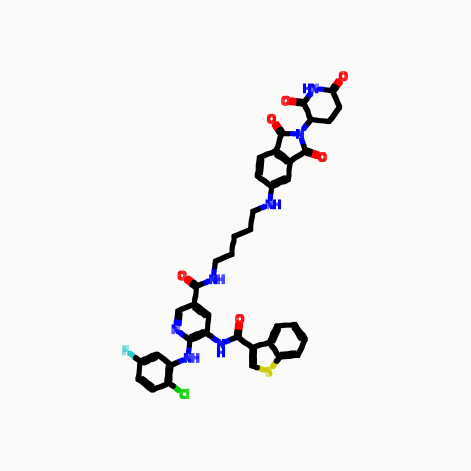 O=C1CCC(N2C(=O)c3ccc(NCCCCCNC(=O)c4cnc(Nc5cc(F)ccc5Cl)c(NC(=O)c5csc6ccccc56)c4)cc3C2=O)C(=O)N1